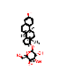 C[C@]12CC[C@@H]3c4ccc(O)cc4CC[C@H]3[C@@H]1CC[C@H]2OC1O[C@H](CO)[C@@H](O)[C@H](O)[C@H]1O